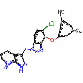 [C-]#[N+]c1cc([N+]#[C-])cc(Oc2c(Cl)ccc3c2nnn3Cc2n[nH]c3ncccc23)c1